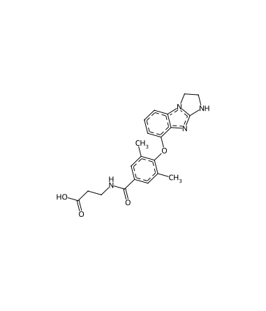 Cc1cc(C(=O)NCCC(=O)O)cc(C)c1Oc1cccc2c1nc1n2CCN1